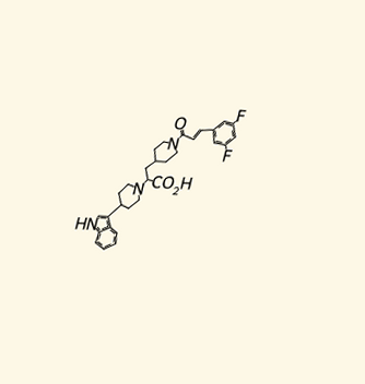 O=C(O)C(CC1CCN(C(=O)/C=C/c2cc(F)cc(F)c2)CC1)N1CCC(c2c[nH]c3ccccc23)CC1